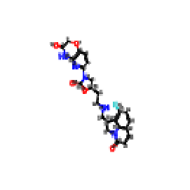 O=C1COc2ccc(N3C[C@@H](CCNC[C@@H]4Cn5c(=O)ccc6ccc(F)c4c65)OC3=O)nc2N1